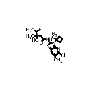 Cc1cc2nc(NC(=O)CC(C)(O)C(C)F)n(C3(C)CCC3)c2nc1Cl